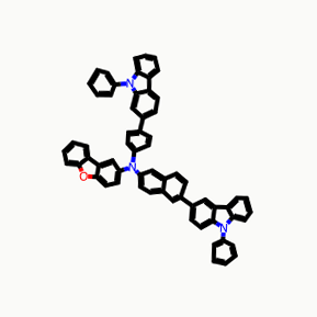 c1ccc(-n2c3ccccc3c3cc(-c4ccc5cc(N(c6ccc(-c7ccc8c9ccccc9n(-c9ccccc9)c8c7)cc6)c6ccc7oc8ccccc8c7c6)ccc5c4)ccc32)cc1